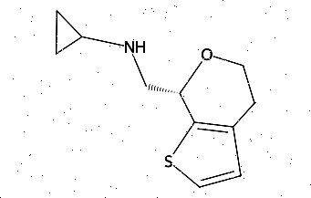 c1cc2c(s1)[C@H](CNC1CC1)OCC2